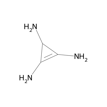 NC1=C(N)C1N